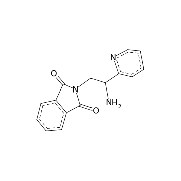 NC(CN1C(=O)c2ccccc2C1=O)c1ccccn1